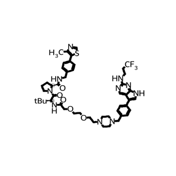 Cc1ncsc1-c1ccc(CNC(=O)[C@@H]2CCCN2C(=O)[C@@H](NC(=O)COCCOCCN2CCN(Cc3ccc(-c4c[nH]c5nc(NCCC(F)(F)F)ncc45)cc3)CC2)C(C)(C)C)cc1